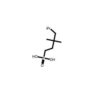 CC(C)CC(C)(C)CCP(=O)(O)O